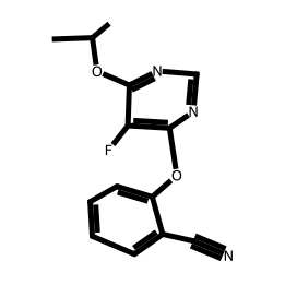 CC(C)Oc1ncnc(Oc2ccccc2C#N)c1F